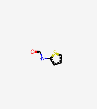 O=C[N]c1cccs1